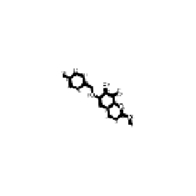 COC1CCC2CC(OCC3CCC(C)CC3)C(F)C(F)C2O1